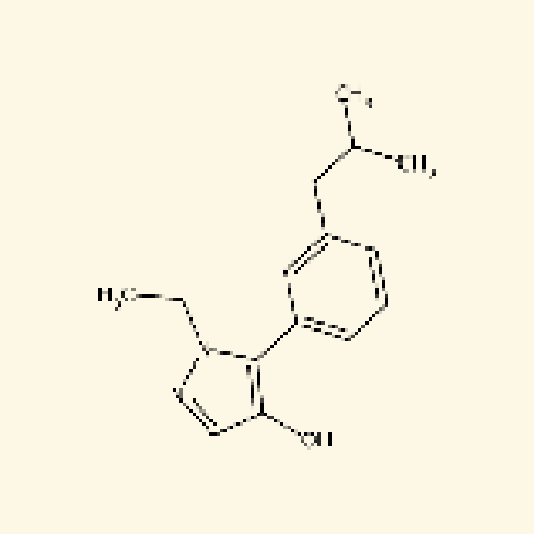 CCn1ncc(O)c1-c1cccc(CC(C)C)c1